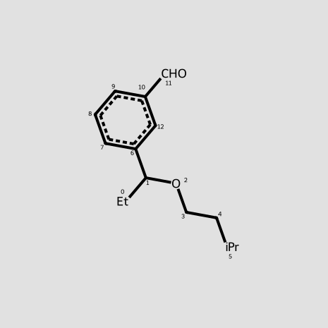 CCC(OCCC(C)C)c1cccc(C=O)c1